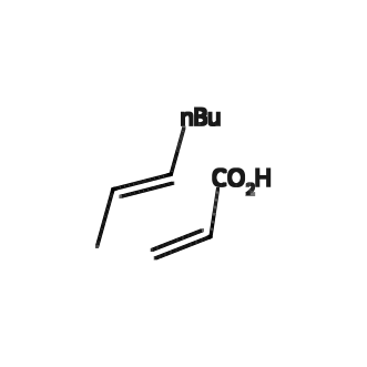 C=CC(=O)O.CC=CCCCC